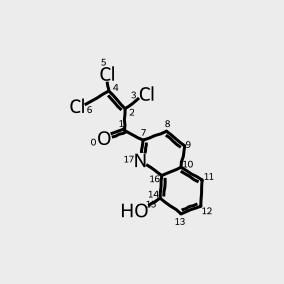 O=C(C(Cl)=C(Cl)Cl)c1ccc2cccc(O)c2n1